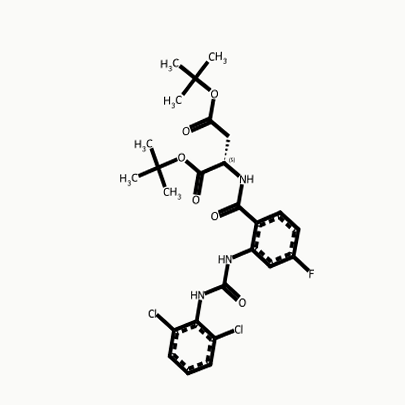 CC(C)(C)OC(=O)C[C@H](NC(=O)c1ccc(F)cc1NC(=O)Nc1c(Cl)cccc1Cl)C(=O)OC(C)(C)C